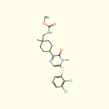 Cn1c(Sc2cccc(Cl)c2Cl)cnc(C2CCC(C)(CNC(=O)OC(C)(C)C)CC2)c1=O